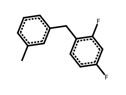 Cc1cccc(Cc2ccc(F)cc2F)c1